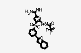 CSc1sc(C(=N)N)cc1S(=O)(=O)c1cccc(-c2cc3ccccc3o2)c1.O=C(O)C(F)(F)F